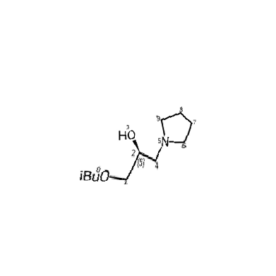 CC(C)COC[C@@H](O)CN1CCCC1